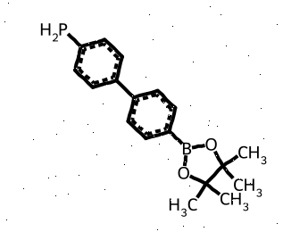 CC1(C)OB(c2ccc(-c3ccc(P)cc3)cc2)OC1(C)C